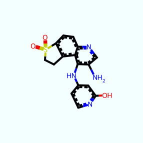 Nc1cnc2ccc3c(c2c1Nc1ccnc(O)c1)CCS3(=O)=O